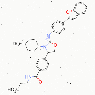 CC(C)(C)C1CCC(N2/C(=N/c3ccc(-c4cc5ccccc5o4)cc3)OCC2c2ccc(C(=O)NCCC(=O)O)cc2)CC1